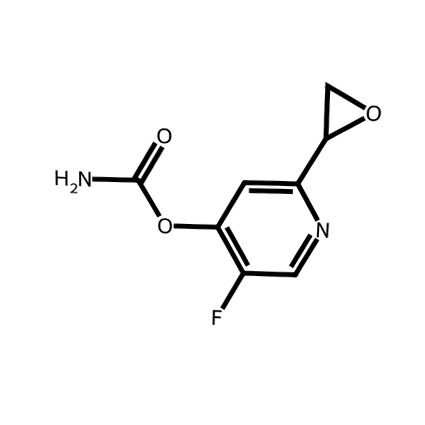 NC(=O)Oc1cc(C2CO2)ncc1F